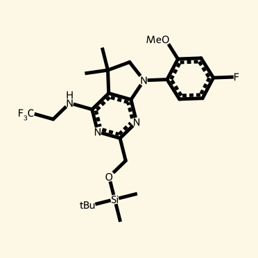 COc1cc(F)ccc1N1CC(C)(C)c2c(NCC(F)(F)F)nc(CO[Si](C)(C)C(C)(C)C)nc21